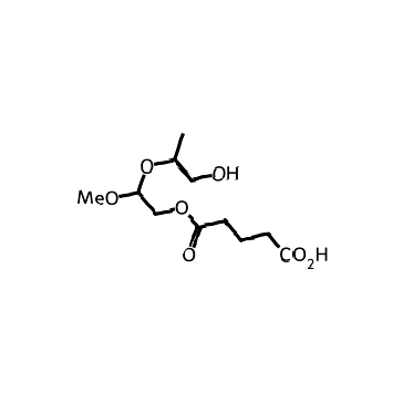 COC(COC(=O)CCCC(=O)O)OC(C)CO